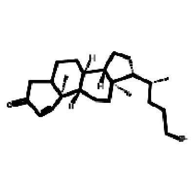 CC(C)CCC[C@@H](C)[C@H]1CC[C@H]2[C@@H]3CCC4CC(=O)C=C[C@]4(C)[C@H]3CC[C@]12C